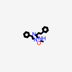 CC(=O)Nc1ncc(-c2ccccc2)nc1/C=C/c1ccccc1